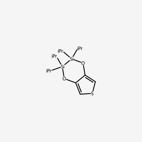 CC(C)[Si]1(C(C)C)Oc2cscc2O[Si]1(C(C)C)C(C)C